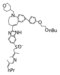 CCC\C=C(C)/C=N\C(C)=C(/C)C[S+]([O-])c1ccc2nc(/C3=C/c4cc(-c5ccc(OCCOCCCC)cc5)ccc4N(CC4CCOCC4)CCC3)[nH]c2c1